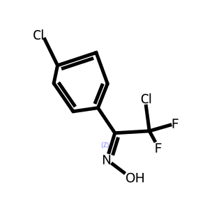 O/N=C(/c1ccc(Cl)cc1)C(F)(F)Cl